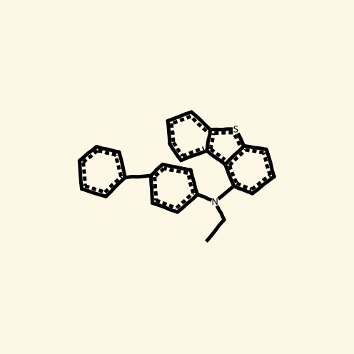 CCN(c1ccc(-c2ccccc2)cc1)c1cccc2sc3ccccc3c12